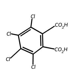 O=C(O)c1c(Cl)c(Cl)c(Cl)c(Cl)c1C(=O)O